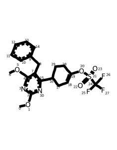 COc1nc(OC)c(Cc2ccccc2)c(C2CC=C(OS(=O)(=O)C(F)(F)F)CC2)n1